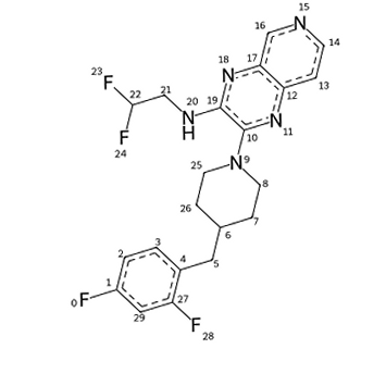 Fc1ccc(CC2CCN(c3nc4ccncc4nc3NCC(F)F)CC2)c(F)c1